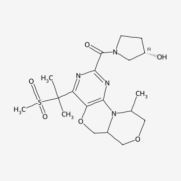 CC1COCC2COc3c(nc(C(=O)N4CC[C@H](O)C4)nc3C(C)(C)S(C)(=O)=O)N12